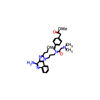 COCCc1nc2c(N)nc3ccccc3c2n1CCCN(Cc1ccc(CC(=O)OC)cc1)C(=O)CN(C)C